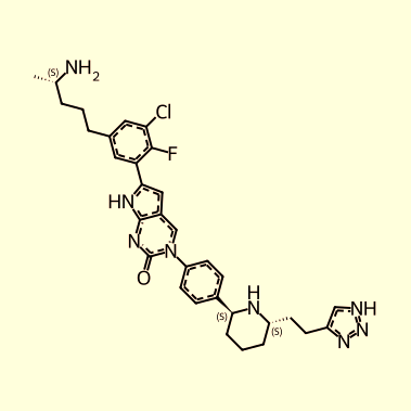 C[C@H](N)CCCc1cc(Cl)c(F)c(-c2cc3cn(-c4ccc([C@@H]5CCC[C@@H](CCc6c[nH]nn6)N5)cc4)c(=O)nc3[nH]2)c1